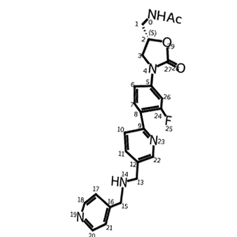 CC(=O)NC[C@H]1CN(c2ccc(-c3ccc(CNCc4ccncc4)cn3)c(F)c2)C(=O)O1